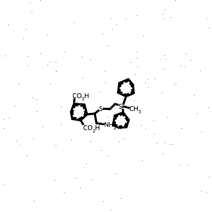 C[Si](CCSC(CN)c1cc(C(=O)O)ccc1C(=O)O)(c1ccccc1)c1ccccc1